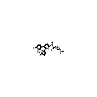 Cc1ccc(-c2nc(NC(=O)NCCN(C)C)ccc2-c2ccc(=O)n(C(C)C)c2)o1